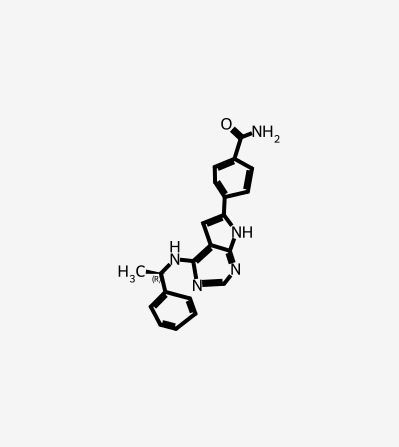 C[C@@H](Nc1ncnc2[nH]c(-c3ccc(C(N)=O)cc3)cc12)c1ccccc1